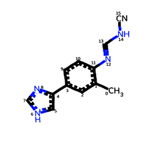 Cc1cc(-c2c[nH]cn2)ccc1N=CNC#N